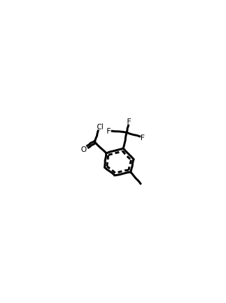 Cc1ccc(C(=O)Cl)c(C(F)(F)F)c1